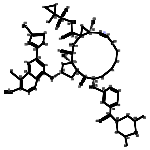 COc1ccc2c(O[C@@H]3C[C@H]4C(=O)N[C@]5(C(=O)NS(=O)(=O)C6(C)CC6)C[C@H]5/C=C\CCCCC[C@H](Nc5cccc(C(=O)N6CC(C)OC(C)C6)c5)C(=O)N4C3)cc(-c3nc(C(C)C)cs3)nc2c1C